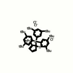 CCCC1=CC=C[C]1([Ti+3])[Si](c1cc(C(C)(C)C)cc(C(C)(C)C)c1)(c1cc(C(C)(C)C)cc(C(C)(C)C)c1)c1cc(C(C)(C)C)cc(C(C)(C)C)c1.[Cl-].[Cl-].[Cl-]